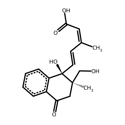 CC(=C/C(=O)O)/C=C/[C@@]1(O)c2ccccc2C(=O)C[C@]1(C)CO